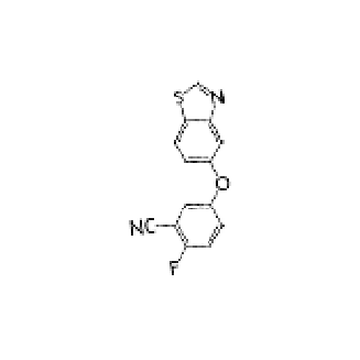 N#Cc1cc(Oc2ccc3scnc3c2)ccc1F